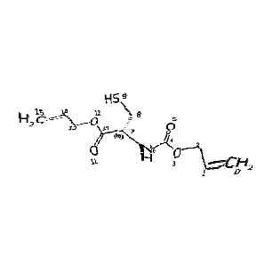 C=CCOC(=O)N[C@@H](CS)C(=O)OCC=C